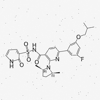 CC(C)COc1cc(F)cc(-c2ccc(C(=O)NS(=O)(=O)c3ccc[nH]c3=O)c(N3[C@H](C)CC[C@@H]3C)n2)c1